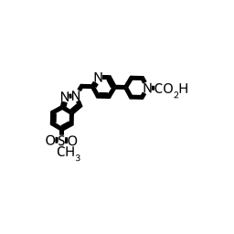 CS(=O)(=O)c1ccc2nn(Cc3ccc(C4CCN(C(=O)O)CC4)cn3)cc2c1